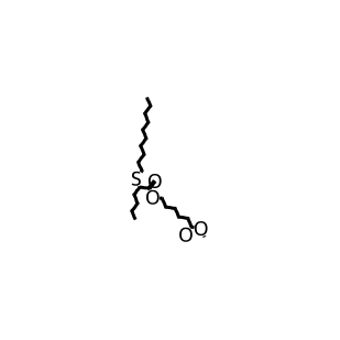 CCCCCCCCCCSC(CCCC)C(=O)OCCCCCC(=O)OC